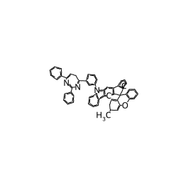 CC1C=C2Oc3ccccc3C3(C2=CC1)c1ccccc1-c1cc2c(cc13)c1ccccc1n2-c1cccc(C2=NC(c3ccccc3)=NC(c3ccccc3)=CC2)c1